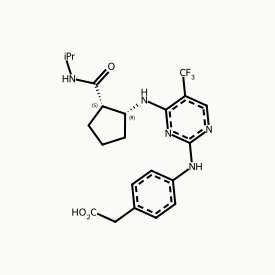 CC(C)NC(=O)[C@H]1CCC[C@H]1Nc1nc(Nc2ccc(CC(=O)O)cc2)ncc1C(F)(F)F